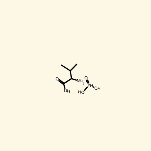 CC(C)C(N)C(=O)O.O=[PH](O)O